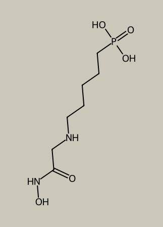 O=C(CNCCCCCP(=O)(O)O)NO